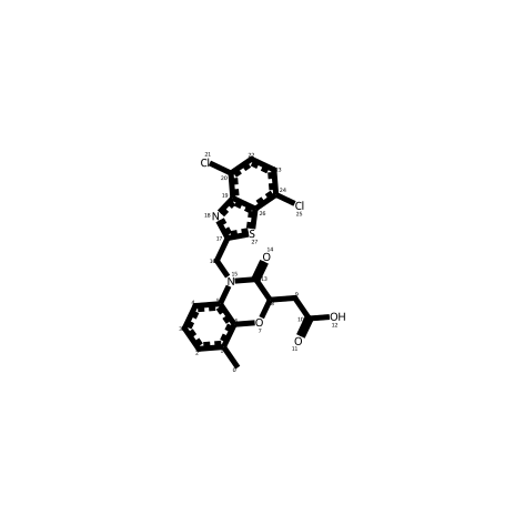 Cc1cccc2c1OC(CC(=O)O)C(=O)N2Cc1nc2c(Cl)ccc(Cl)c2s1